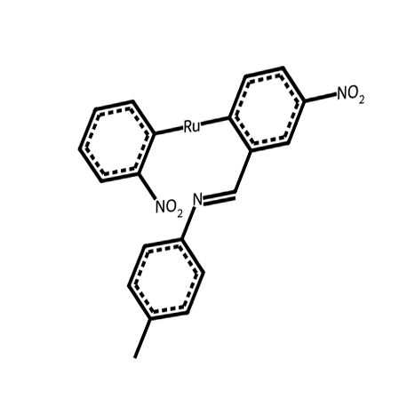 Cc1ccc(N=Cc2cc([N+](=O)[O-])cc[c]2[Ru][c]2ccccc2[N+](=O)[O-])cc1